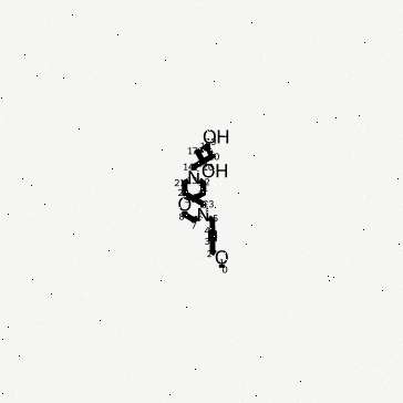 COCC#CCN1CCOC2(CCN(CC3(O)CC(O)C3)CC2)C1